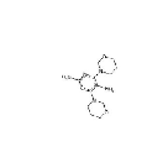 Nc1nc(N2CCCOC2)c(N)c(N2CCCOC2)n1